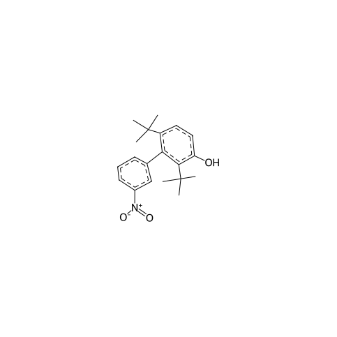 CC(C)(C)c1ccc(O)c(C(C)(C)C)c1-c1cccc([N+](=O)[O-])c1